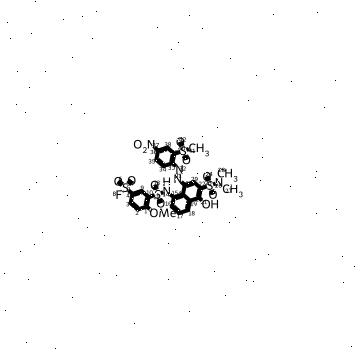 COc1ccc(S(=O)(=O)F)cc1S(=O)(=O)Nc1cccc2c(O)c(S(=O)(=O)N(C)C)cc(/N=N/c3ccc([N+](=O)[O-])cc3S(C)(=O)=O)c12